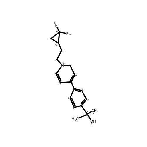 CC(C)(O)c1ccc(C2=CCN(CCC3CC3(F)F)C=C2)cc1